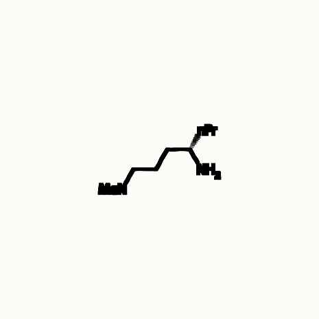 CCC[C@H](N)CCCNC